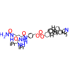 CC(C)N[C@H](C(=O)N[C@@H](CCCNC(N)=O)C(=O)Nc1ccc(COC(=O)O[C@H]2CC[C@@]3(C)C(=CC[C@@H]4[C@@H]3CC[C@]3(C)C(c5cccnc5)=CC[C@@H]43)C2)cc1)C(C)C